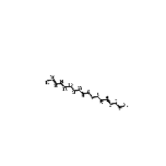 [CH2]CCC=CCCCCCCCCCCC=CC